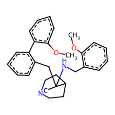 COc1ccccc1CNC1(Cc2ccccc2-c2ccccc2OC)CN2CCC1CC2